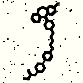 COC(=O)C[C@H]1CC[C@H](c2ccc(OCCCCN3CCC(=C4c5ccc(Cl)cc5CCc5cccnc54)CC3)cc2)CC1